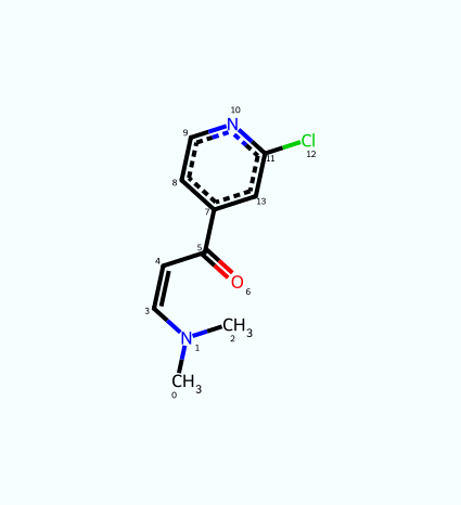 CN(C)/C=C\C(=O)c1ccnc(Cl)c1